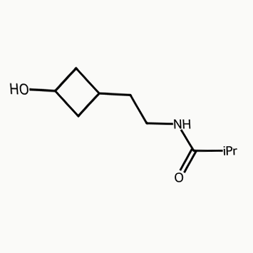 CC(C)C(=O)NCCC1CC(O)C1